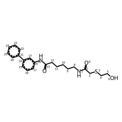 O=C(CSCCO)NCCCCCC(=O)Nc1cccc(-c2ccccc2)c1